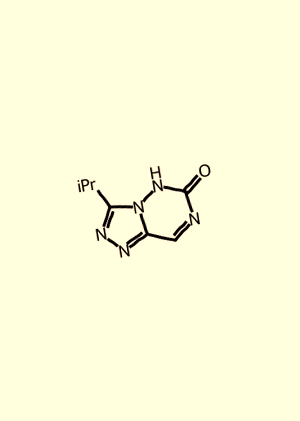 CC(C)c1nnc2cnc(=O)[nH]n12